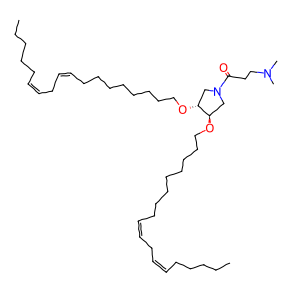 CCCCC/C=C\C/C=C\CCCCCCCCO[C@@H]1CN(C(=O)CCN(C)C)C[C@H]1OCCCCCCCC/C=C\C/C=C\CCCCC